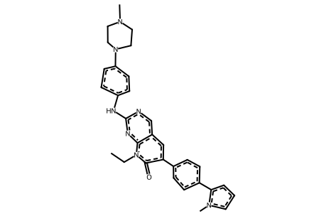 CCn1c(=O)c(-c2ccc(-c3cccn3C)cc2)cc2cnc(Nc3ccc(N4CCN(C)CC4)cc3)nc21